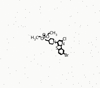 CCOP(=O)(CC1CCN(c2cc(Cl)nc3c2sc2ccc(Br)cc23)CC1)OCC